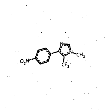 Cn1cnc(-c2ccc([N+](=O)[O-])cc2)c1C(F)(F)F